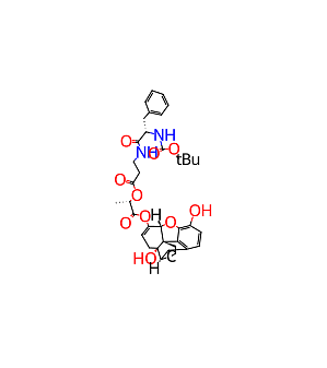 C[C@H](OC(=O)CCNC(=O)[C@H](Cc1ccccc1)NC(=O)OC(C)(C)C)C(=O)OC1=CC[C@@]2(O)[C@@H]3CCC[C@@]24c2c(ccc(O)c2O[C@@H]14)C3